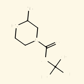 CC(C)(C)OC(=O)N1CCN[CH]([Na])C1